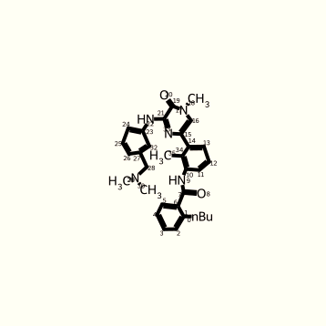 CCCCc1ccccc1C(=O)Nc1cccc(-c2cn(C)c(=O)c(Nc3cccc(CN(C)C)c3)n2)c1C